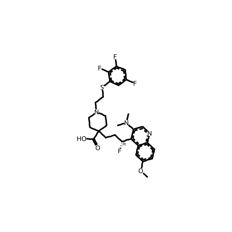 COc1ccc2ncc(N(C)C)c([C@H](F)CCC3(C(=O)O)CCN(CCSc4cc(F)cc(F)c4F)CC3)c2c1